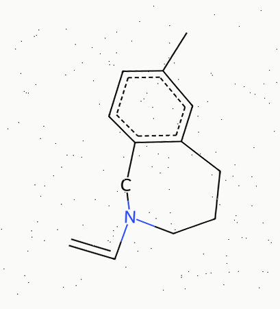 C=CN1CCCc2cc(C)ccc2C1